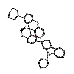 C1=CCCC(c2ccc3c(c2)C2(c4ccccc4S3)c3ccccc3Sc3ccc(-c4ccc5c6ccccc6n(-c6ccccc6)c5c4)cc32)=C1